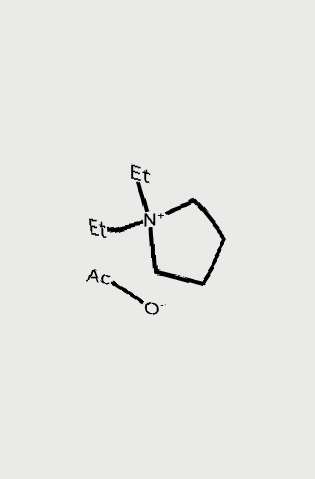 CC(=O)[O-].CC[N+]1(CC)CCCC1